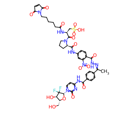 C/C(=N/NC(=O)c1ccc(NC(=O)[C@H]2CCCN2C(=O)[C@H](CS(=O)(=O)O)NC(=O)CCCCCN2C(=O)C=CC2=O)cc1[N+](=O)[O-])c1ccc(C(=O)Nc2ccn([C@@H]3O[C@H](CO)[C@@H](O)C3(F)F)c(=O)n2)cc1